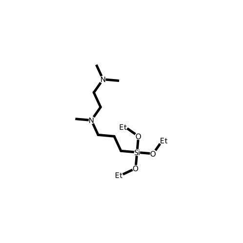 CCO[Si](CCCN(C)CCN(C)C)(OCC)OCC